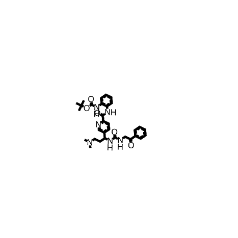 CN(C)CCC(NC(=O)NCC(=O)c1ccccc1)c1ccc(C(=O)Nc2ccccc2NC(=O)OC(C)(C)C)nc1